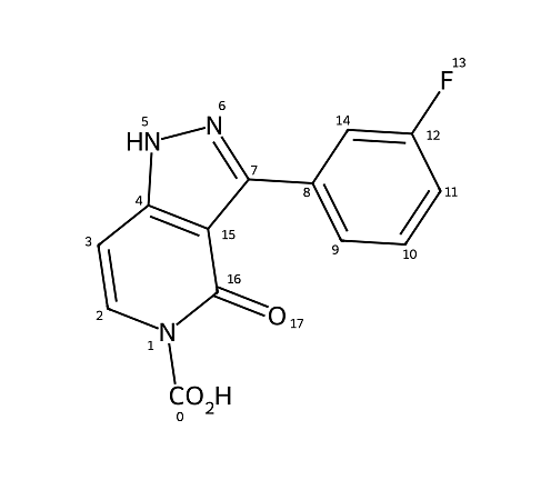 O=C(O)n1ccc2[nH]nc(-c3cccc(F)c3)c2c1=O